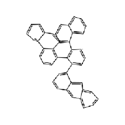 [c]1ccc(-c2cccc3cc4ccccc4cc23)c(-c2cccc3c2ccc2ccccc23)c1-c1cccc2ccccc12